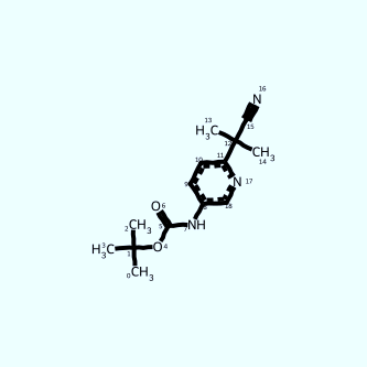 CC(C)(C)OC(=O)Nc1ccc(C(C)(C)C#N)nc1